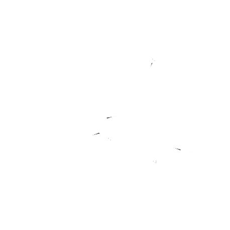 C[C@@H]1[C@@H](C)C/C=C/C([C@H]2OC[C@H](N(C)C)CO2)[C@@H]2CC[C@H]2CN2C[C@@]3(CCCc4cc(Cl)ccc43)COc3ccc(cc32)C(=O)NS1(=O)=O